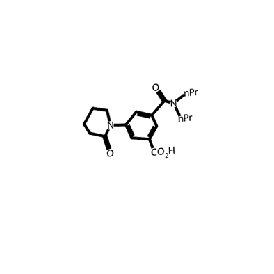 CCCN(CCC)C(=O)c1cc(C(=O)O)cc(N2CCCCC2=O)c1